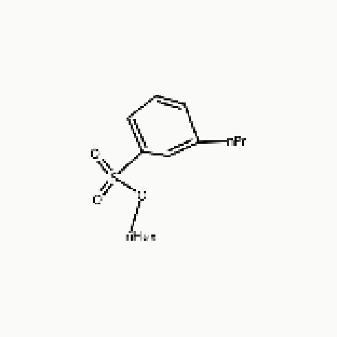 [CH2]CCCCCOS(=O)(=O)c1cccc(CCC)c1